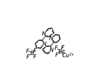 F[B-](F)(F)F.F[B-](F)(F)F.[Cu+2].c1ccc(-c2ccccn2)nc1.c1ccc(-c2ccccn2)nc1